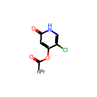 CCCC(=O)Oc1cc(=O)[nH]cc1Cl